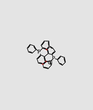 Clc1cccc(P(c2ccccc2)c2ccccc2)c1-c1ccccc1P(c1ccccc1)c1ccccc1